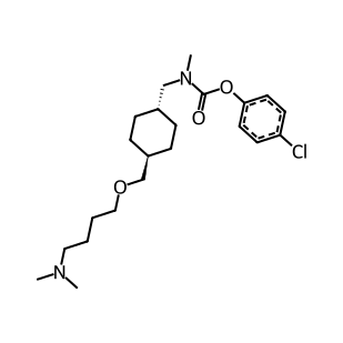 CN(C)CCCCOC[C@H]1CC[C@H](CN(C)C(=O)Oc2ccc(Cl)cc2)CC1